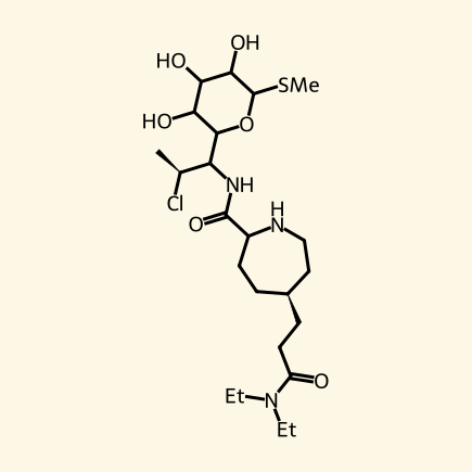 CCN(CC)C(=O)CC[C@@H]1CCNC(C(=O)NC(C2OC(SC)C(O)C(O)C2O)[C@H](C)Cl)CC1